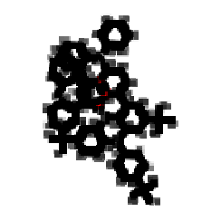 Cc1ccccc1-c1c(-c2ccccc2)n2c3c(ccc(N(c4ccccc4)c4ccccc4-c4ccccc4)c13)-c1cc(C(C)(C)C)cc3c1B2c1cc(C(C)(C)C)ccc1N3c1ccc(C(C)(C)C)cc1